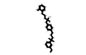 CCc1cccc(C(C)(C)CCCc2ccc(CC(C)(I)CCCc3ccccc3C)cc2)c1